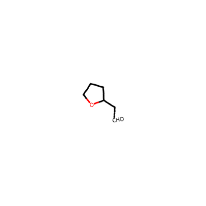 O=CCC1CCCO1